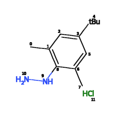 Cc1cc(C(C)(C)C)cc(C)c1NN.Cl